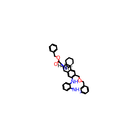 Nc1ccccc1Nc1cc2c(cc1COCc1ccccc1)[C@@]13CCCC[C@H]1[C@@H](C2)N(C(=O)OCc1ccccc1)CC3